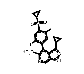 Cc1cc(-c2c(C(=O)O)ncc3[nH]nc(C4CC4)c23)c(F)cc1S(=O)(=O)C1CC1